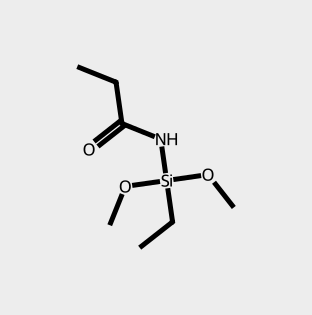 CCC(=O)N[Si](CC)(OC)OC